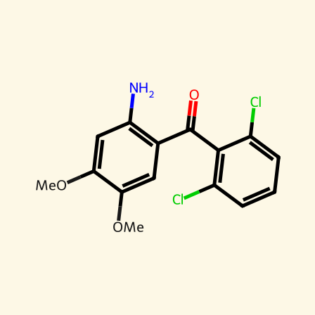 COc1cc(N)c(C(=O)c2c(Cl)cccc2Cl)cc1OC